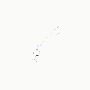 O=C(O)c1ccc(NCCOCCOC2CCCCO2)cc1